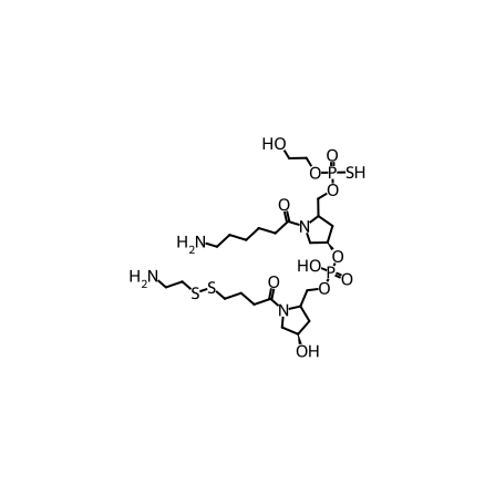 NCCCCCC(=O)N1C[C@H](OP(=O)(O)OCC2C[C@@H](O)CN2C(=O)CCCSSCCN)CC1COP(=O)(S)OCCO